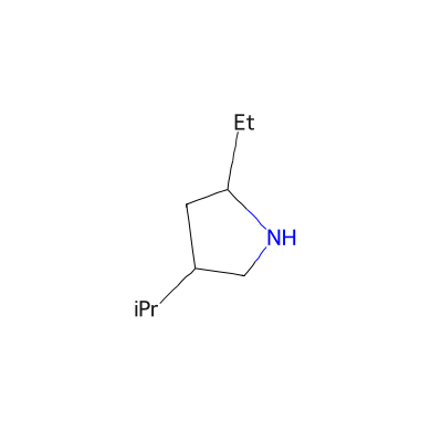 CCC1CC(C(C)C)CN1